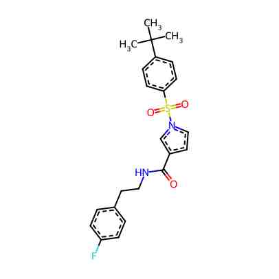 CC(C)(C)c1ccc(S(=O)(=O)n2ccc(C(=O)NCCc3ccc(F)cc3)c2)cc1